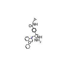 C=C/C(=C\C1C(c2ccc(C(=O)NCC3CC3)cc2)=CNC1N)C1C=CC=CC1OC1CC=CCC1